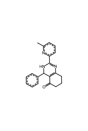 Cc1cccc(C2=NC3=C(C(=O)CCC3)C(c3ccccc3)N2)n1